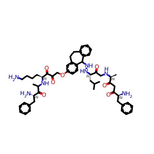 CC(C)C[C@H](NNC1c2ccccc2CCc2cc(OCC(=O)C(=O)[C@H](CCCCN)NC(C)C(=O)[C@@H](N)Cc3ccccc3)ccc21)C(=O)CN[C@@H](C)C(=O)CC(=O)[C@@H](N)Cc1ccccc1